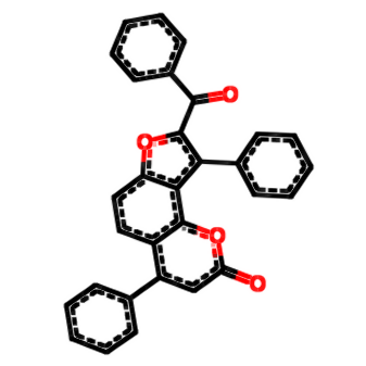 O=C(c1ccccc1)c1oc2ccc3c(-c4ccccc4)cc(=O)oc3c2c1-c1ccccc1